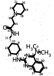 CN(C)c1nc(N[C@H]2CC[C@@H](CNC(=O)CCN3CCCCC3)CC2)nc2ccccc12